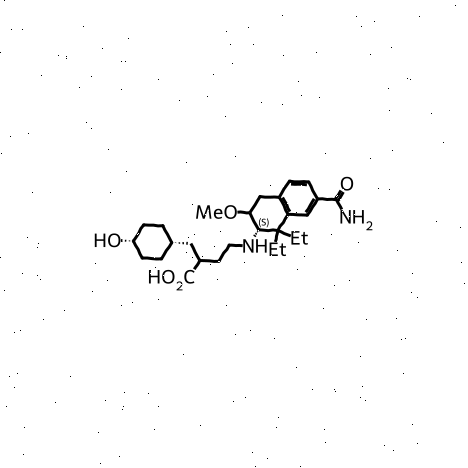 CCC1(CC)c2cc(C(N)=O)ccc2CC(OC)[C@H]1NCCC(C[C@H]1CC[C@@H](O)CC1)C(=O)O